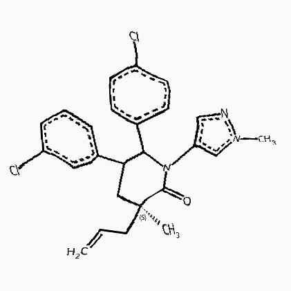 C=CC[C@@]1(C)CC(c2cccc(Cl)c2)C(c2ccc(Cl)cc2)N(c2cnn(C)c2)C1=O